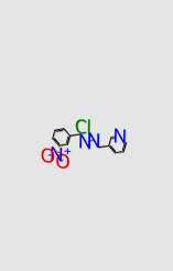 O=[N+]([O-])c1cccc(C(Cl)=NN=Cc2cccnc2)c1